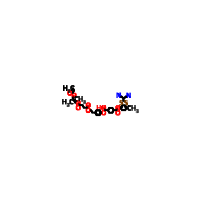 C=CC(=O)OCC(C)(C)COC(=O)CCC(=O)OCCc1ccc(OC(O)C2CCC(C(=O)Oc3ccc(C)c4c3SC(=C(C#N)C#N)S4)CC2)cc1